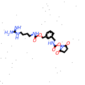 N=C(N)NCCCCNC(=O)OCc1cccc(CNC(=O)ON2C(=O)CCC2=O)c1